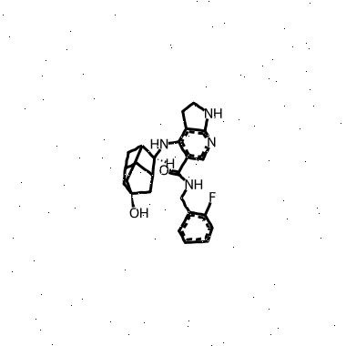 O=C(NCc1ccccc1F)c1cnc2c(c1N[C@H]1C3CC4CC1C[C@@](O)(C4)C3)CCN2